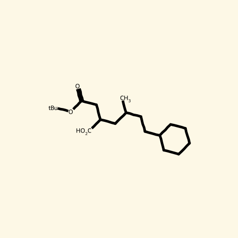 CC(CCC1CCCCC1)CC(CC(=O)OC(C)(C)C)C(=O)O